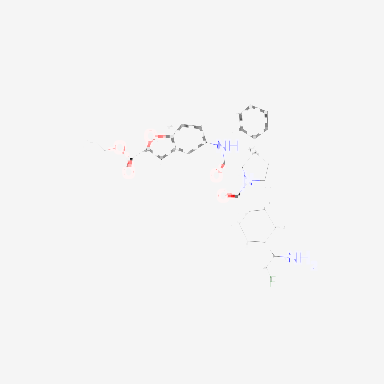 CCOC(=O)c1cc2cc(NC(=O)[C@@H]3[C@H](c4ccccc4)CCN3C(=O)[C@H]3CC[C@H](C(N)CF)CC3)ccc2o1